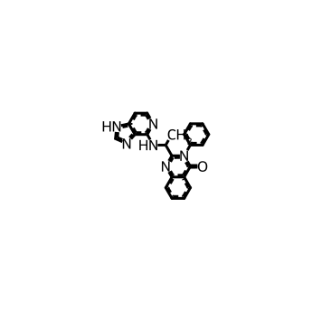 CC(Nc1nccc2[nH]cnc12)c1nc2ccccc2c(=O)n1-c1ccccc1